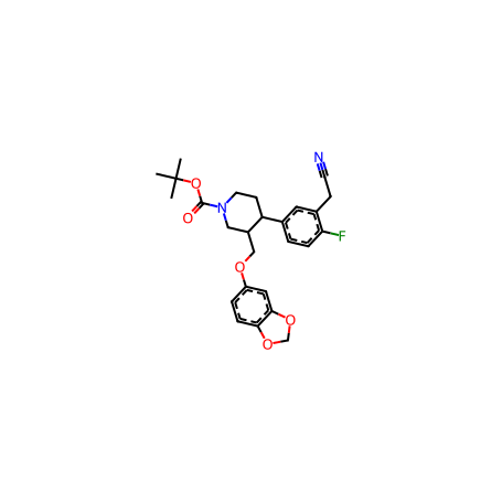 CC(C)(C)OC(=O)N1CCC(c2ccc(F)c(CC#N)c2)C(COc2ccc3c(c2)OCO3)C1